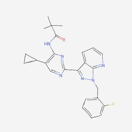 CC(C)(C)C(=O)Nc1nc(-c2nn(Cc3ccccc3F)c3ncccc23)ncc1C1CC1